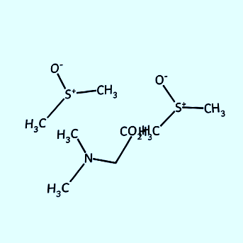 CN(C)CC(=O)O.C[S+](C)[O-].C[S+](C)[O-]